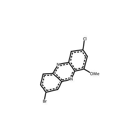 COc1cc(Cl)cc2nc3ccc(Br)cc3nc12